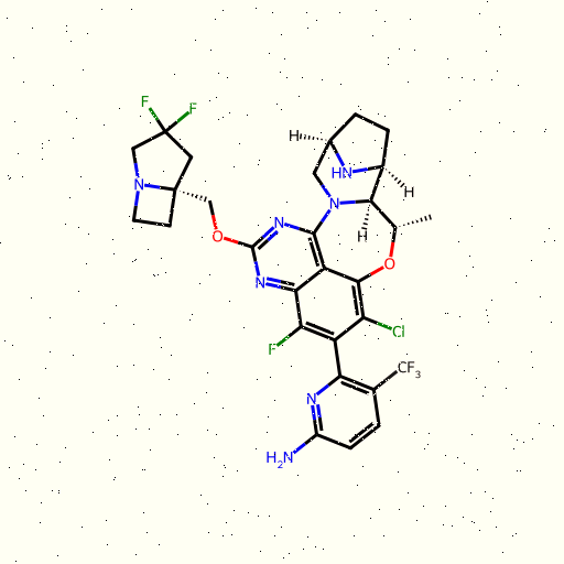 C[C@@H]1Oc2c(Cl)c(-c3nc(N)ccc3C(F)(F)F)c(F)c3nc(OC[C@]45CCN4CC(F)(F)C5)nc(c23)N2C[C@H]3CC[C@H](N3)[C@@H]12